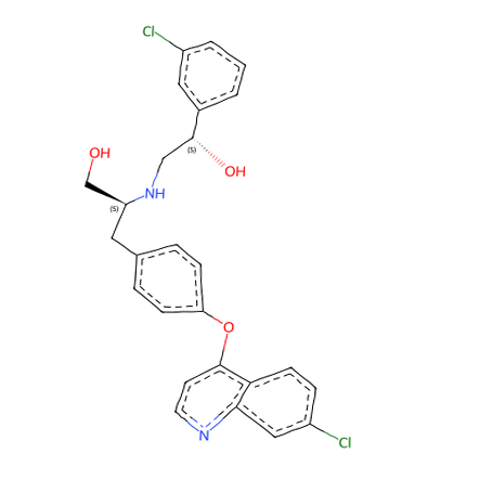 OC[C@H](Cc1ccc(Oc2ccnc3cc(Cl)ccc23)cc1)NC[C@@H](O)c1cccc(Cl)c1